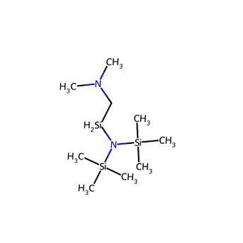 CN(C)C[SiH2]N([Si](C)(C)C)[Si](C)(C)C